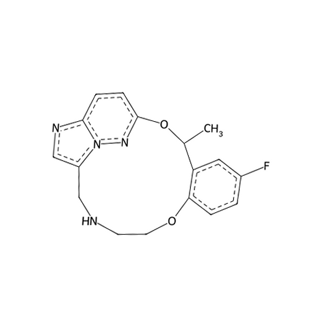 CC1Oc2ccc3ncc(n3n2)CNCCOc2ccc(F)cc21